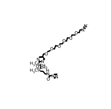 C[Si](C)(CCCNC(=O)n1ccnc1)O[Si](C)(C)c1ncc(COCCOCCOCCOCCOCCOCCN=[N+]=[N-])cn1